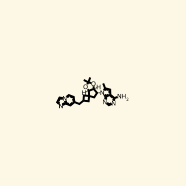 Cc1cc2c(N)ncnc2n1[C@@H]1CC2(CC(Cc3ccn4ccnc4c3)C2)[C@H]2OC(C)(C)O[C@@H]12